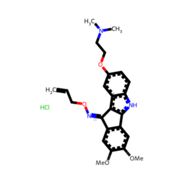 C=CCO/N=C1/c2cc(OC)c(OC)cc2-c2[nH]c3ccc(OCCN(C)C)cc3c21.Cl